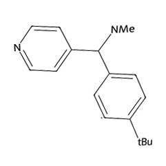 CNC(c1c[c]c(C(C)(C)C)cc1)c1ccncc1